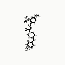 Nc1ccc(OCC(=O)N2CCN(Cc3ccc(Cl)cc3)CC2)c([N+](=O)[O-])c1